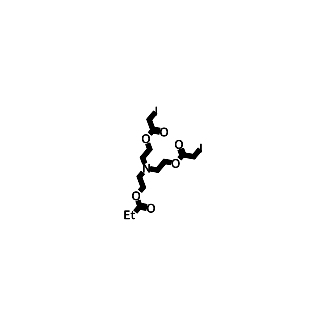 CCC(=O)OCCN(CCOC(=O)CI)CCOC(=O)CI